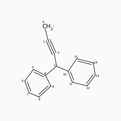 [CH2]C#CC(c1ccccc1)c1ccccc1